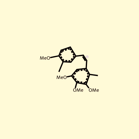 COc1ccc(/C=C\c2cc(OC)c(OC)c(OC)c2C)cc1C